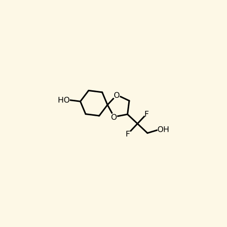 OCC(F)(F)C1COC2(CCC(O)CC2)O1